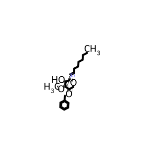 CCCCCCC/C=C/[C@@H]1OC[C@@H](OCc2ccccc2)[C@H](OC)[C@@H]1O